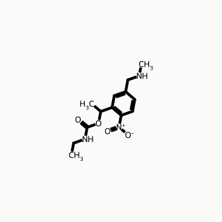 CCNC(=O)OC(C)c1cc(CNC)ccc1[N+](=O)[O-]